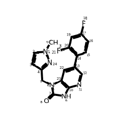 Cn1ccc(Cn2c(=O)[nH]c3ncc(-c4ccc(F)cc4F)cc32)n1